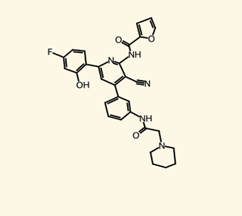 N#Cc1c(-c2cccc(NC(=O)CN3CCCCC3)c2)cc(-c2ccc(F)cc2O)nc1NC(=O)c1ccco1